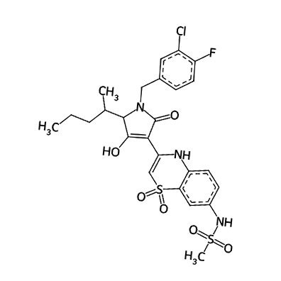 CCCC(C)C1C(O)=C(C2=CS(=O)(=O)c3cc(NS(C)(=O)=O)ccc3N2)C(=O)N1Cc1ccc(F)c(Cl)c1